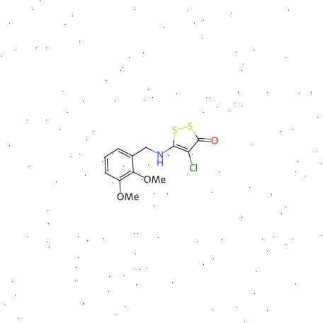 COc1cccc(CNc2ssc(=O)c2Cl)c1OC